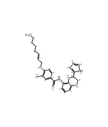 CCCCC/C=C/COc1ccc(C(=O)Nc2cccc3c2OC(c2nnn[nH]2)CO3)cc1Cl